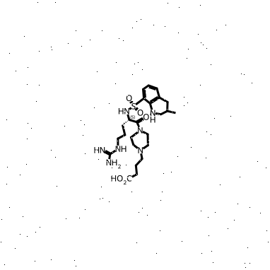 CC1CNc2c(cccc2S(=O)(=O)N[C@@H](CCCNC(=N)N)C(=O)N2CCN(CCCC(=O)O)CC2)C1